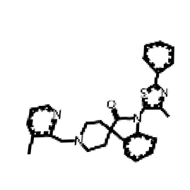 Cc1cccnc1CN1CCC2(CC1)C(=O)N(c1sc(-c3ccccc3)nc1C)c1ccccc12